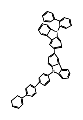 C1=CCCC(c2ccc(-c3ccc(-n4c5ccccc5c5cc(-c6ccc7c(c6)c6ccccc6n7-c6ccccc6-c6ccccc6)ccc54)cc3)cc2)=C1